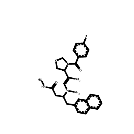 N/C(=C\N(N)C(CC(=O)NO)Cc1ccc2ccccc2c1)C1CSCN1C(=O)c1ccc(F)cc1